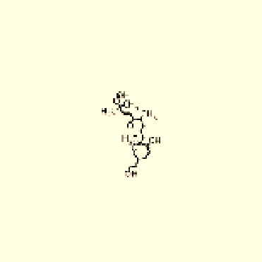 CC(CCCC1(C)OCC(=CCO)CC[C@H]1O)C(=O)C=CC(C)(C)OO